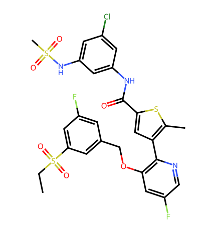 CCS(=O)(=O)c1cc(F)cc(COc2cc(F)cnc2-c2cc(C(=O)Nc3cc(Cl)cc(NS(C)(=O)=O)c3)sc2C)c1